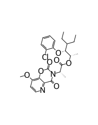 CCC(CC)[C@@H](Oc1ccccc1Cl)[C@H](C)OC(=O)[C@H](C)n1c(=O)oc2c(OC)ccnc2c1=O